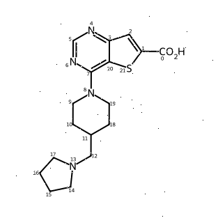 O=C(O)c1cc2ncnc(N3CCC(CN4CCCC4)CC3)c2s1